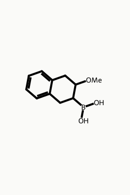 COC1Cc2ccccc2CC1B(O)O